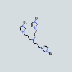 CCN1C=CN(CCCN(CCCN2C=CN(CC)C2)CCCN2C=CN(CC)C2)C1